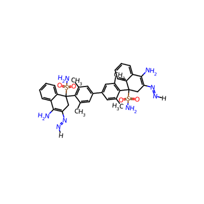 [H]/N=N/C1=C(N)c2ccccc2C(c2c(C)cc(-c3cc(C)c(C4(S(N)(=O)=O)CC(/N=N/[H])=C(N)c5ccccc54)c(C)c3)cc2C)(S(N)(=O)=O)C1